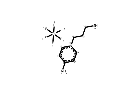 F[P-](F)(F)(F)(F)F.Nc1cc[n+](CCCS)cc1